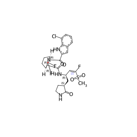 CS(=O)(=O)/C(F)=C\[C@@H](C[C@@H]1CCNC1=O)NC(=O)[C@H]1[C@H]2CC[C@H](CC2(F)F)N1C(=O)c1cc2cccc(Cl)c2[nH]1